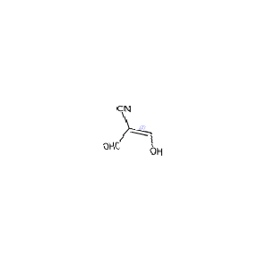 N#C/C(C=O)=C/O